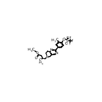 CCOC(=O)CC(C)CN1CCc2nc(-c3ccc(OS(=O)(=O)C(F)(F)F)c(C)c3)ncc2C1